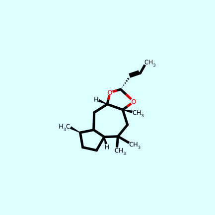 C/C=C/[C@H]1O[C@H]2CC3[C@H](C)CC[C@H]3C(C)(C)C[C@@]2(C)O1